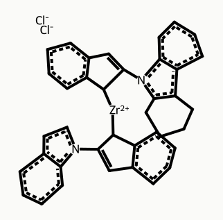 C1=C(n2ccc3ccccc32)[CH]([Zr+2][CH]2C(n3c4c(c5ccccc53)CCCC4)=Cc3ccccc32)c2ccccc21.[Cl-].[Cl-]